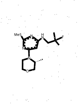 CSc1nc(NCC(C)(C)F)cc(N2CCOC[C@H]2C)n1